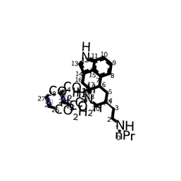 CCCNCC[C@@H]1CC2c3cccc4[nH]cc(c34)C[C@H]2N(C)C1.O=C(O)/C=C\C(=O)O.O=C(O)/C=C\C(=O)O